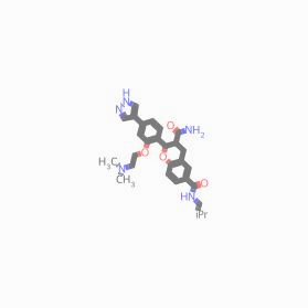 CC(C)CNC(=O)c1ccc2c(c1)CC(C(N)=O)C(c1ccc(-c3cn[nH]c3)cc1OCCN(C)C)O2